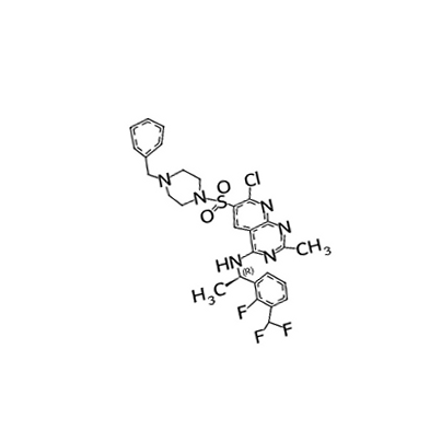 Cc1nc(N[C@H](C)c2cccc(C(F)F)c2F)c2cc(S(=O)(=O)N3CCN(Cc4ccccc4)CC3)c(Cl)nc2n1